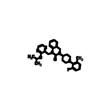 Cc1cccc(F)c1N1CCC(N2Cc3ccccc3N(Cc3nccnc3OC(C)C)C2=O)CC1